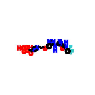 O=C(Cn1cc(Nc2ncnc3cc(OCCCN4CCN(C(=O)COP(=O)(O)O)CC4)ccc23)cn1)Nc1cccc(F)c1F